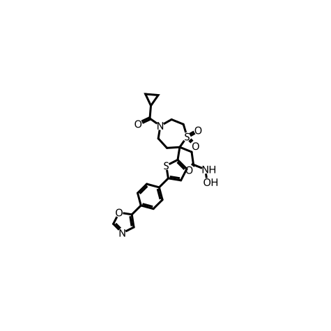 O=C(CC1(c2ccc(-c3ccc(-c4cnco4)cc3)s2)CCN(C(=O)C2CC2)CCS1(=O)=O)NO